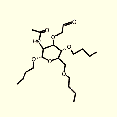 CCCCOCC1O[C@H](OCCCC)C(NC(C)=O)[C@@H](OCC=O)[C@@H]1OCCCC